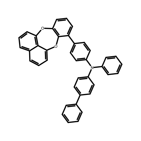 c1ccc(-c2ccc(N(c3ccccc3)c3ccc(-c4cccc5c4Oc4cccc6cccc(c46)O5)cc3)cc2)cc1